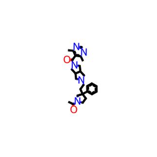 CC(=O)N1CCC(CCN2CC3CN(C(=O)c4c(C)ncnc4C)CC3C2)(c2ccccc2)C1